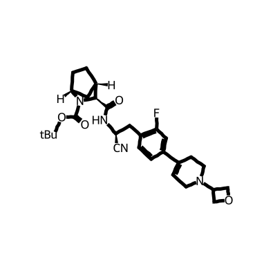 CC(C)(C)OC(=O)N1[C@@H]2CC[C@@H](C2)[C@H]1C(=O)N[C@H](C#N)Cc1ccc(C2=CCN(C3COC3)CC2)cc1F